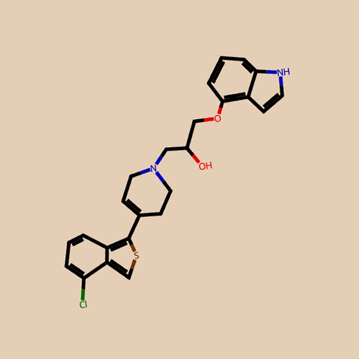 OC(COc1cccc2[nH]ccc12)CN1CC=C(c2scc3c(Cl)cccc23)CC1